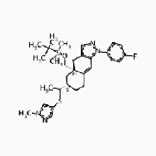 CC(Sc1cnn(C)c1)[C@H]1CCC2=Cc3c(cnn3-c3ccc(F)cc3)C[C@]2(CO[Si](C)(C)C(C)(C)C)C1